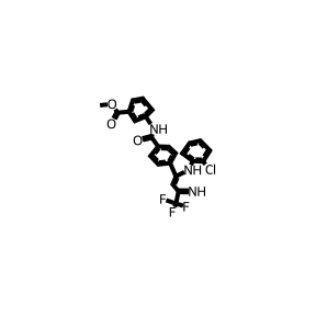 COC(=O)c1cccc(NC(=O)c2ccc(/C(=C/C(=N)C(F)(F)F)Nc3ccccc3Cl)cc2)c1